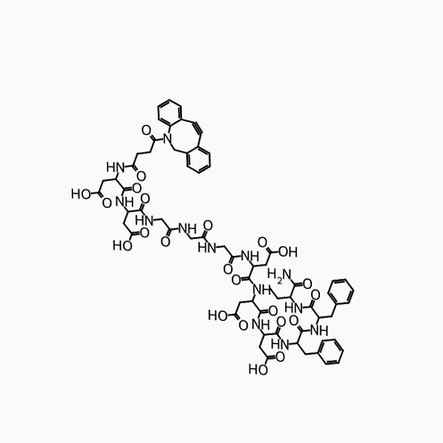 CCC(NC(=O)C(Cc1ccccc1)NC(=O)C(Cc1ccccc1)NC(=O)C(CC(=O)O)NC(=O)C(CC(=O)O)NC(=O)C(CC(=O)O)NC(=O)CNC(=O)CNC(=O)CNC(=O)C(CC(=O)O)NC(=O)C(CC(=O)O)NC(=O)CCC(=O)N1Cc2ccccc2C#Cc2ccccc21)C(N)=O